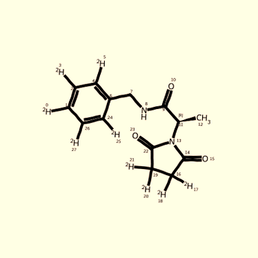 [2H]c1c([2H])c([2H])c(CNC(=O)[C@@H](C)N2C(=O)C([2H])([2H])C([2H])([2H])C2=O)c([2H])c1[2H]